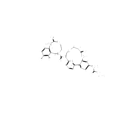 COC(=O)Nc1ccc2c(c1)NC(=O)CCCC[C@H](C(=O)N1CCOC(=O)Nc3ccc(Cl)c(F)c3C1)c1cccc-2n1